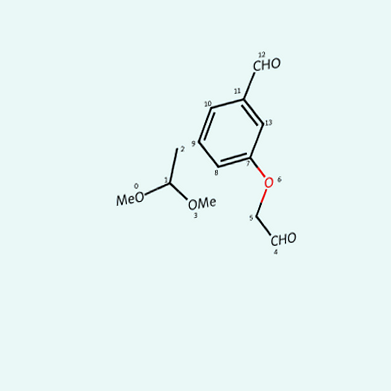 COC(C)OC.O=CCOc1cccc(C=O)c1